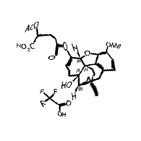 COc1ccc2c3c1O[C@H]1C(OC(=O)CC(OC(C)=O)C(=O)O)=CC[C@@]4(O)[C@@H](C2)N(C)CC[C@]314.O=C(O)C(F)(F)F